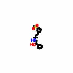 CC(C)(CCc1cccc(S(C)(=O)=O)c1)NC[C@@H](O)c1ccccc1